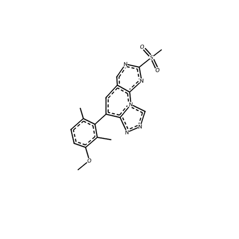 COc1ccc(C)c(-c2cc3cnc(S(C)(=O)=O)nc3n3cnnc23)c1C